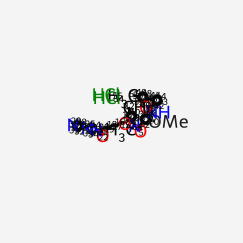 COc1cc(C(=O)N(C)c2ccc(C)cc2OCCCCCC(=O)N2CCN(c3ccncc3)CC2)ccc1NC(=O)c1ccccc1-c1ccc(C)cc1.Cl.Cl